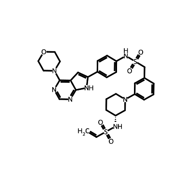 C=CS(=O)(=O)N[C@@H]1CCCN(c2cccc(CS(=O)(=O)Nc3ccc(-c4cc5c(N6CCOCC6)ncnc5[nH]4)cc3)c2)C1